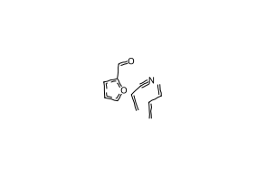 C=CC#N.C=CC=C.O=Cc1ccco1